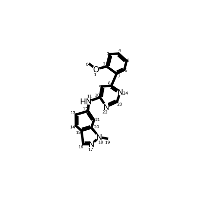 COc1ccccc1-c1cc(Nc2ccc3cnn(C)c3c2)ncn1